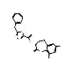 O=C(N[C@@H]1CCc2cc(F)cc(F)c2NC1=O)c1nnc(Cc2ccccc2)[nH]1